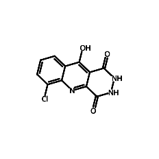 O=c1[nH][nH]c(=O)c2c(O)c3cccc(Cl)c3nc12